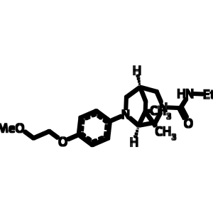 CCNC(=O)N1C[C@@H]2CN(c3ccc(OCCOC)cc3)[C@H](C1)C(C)(C)C2